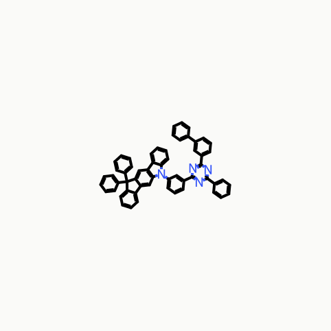 c1ccc(-c2cccc(-c3nc(-c4ccccc4)nc(-c4cccc(-n5c6ccccc6c6cc7c(cc65)-c5ccccc5C7(c5ccccc5)c5ccccc5)c4)n3)c2)cc1